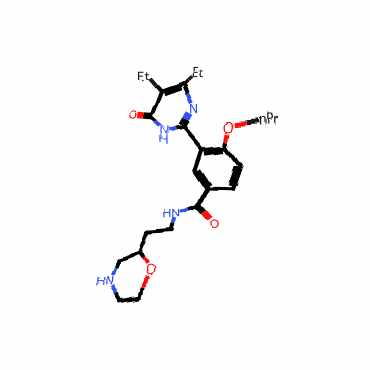 CCCOc1ccc(C(=O)NCCC2CNCCO2)cc1-c1nc(CC)c(CC)c(=O)[nH]1